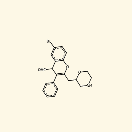 O=CC1C(c2ccccc2)=C(CC2CNCCO2)Oc2ccc(Br)cc21